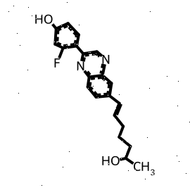 CC(O)CCCC=Cc1ccc2nc(-c3ccc(O)cc3F)cnc2c1